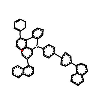 C1=CCCC(c2ccccc2-c2ccccc2N(c2ccc(-c3ccc(-c4cccc5ccccc45)cc3)cc2)c2cccc(-c3cccc4ccccc34)c2)=C1